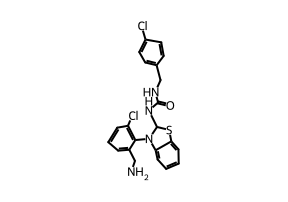 NCc1cccc(Cl)c1N1c2ccccc2SC1NC(=O)NCc1ccc(Cl)cc1